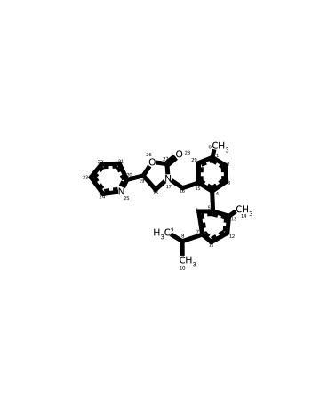 Cc1ccc(-c2cc(C(C)C)ccc2C)c(CN2CC(c3ccccn3)OC2=O)c1